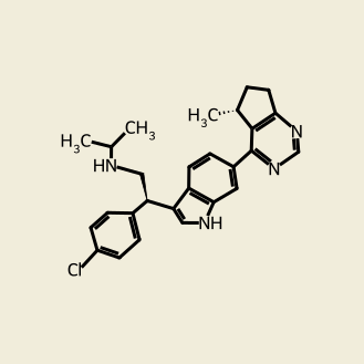 CC(C)NC[C@H](c1ccc(Cl)cc1)c1c[nH]c2cc(-c3ncnc4c3[C@H](C)CC4)ccc12